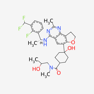 Cc1nc(N[C@H](C)c2cccc(C(F)F)c2F)c2cc(C3(O)CCC(C(=O)N(C)CC(C)O)CC3)c3c(c2n1)CCO3